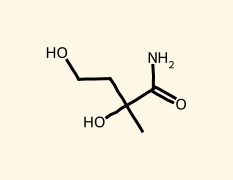 CC(O)(CCO)C(N)=O